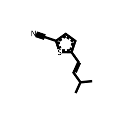 CC(C)/C=C/c1ccc(C#N)s1